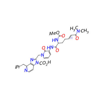 COC(=O)NC(CC/C=C/C(=O)N(C)C)C(=O)Nc1cccn(Cc2nc3c(CC(C)C)nccc3n2C(=O)O)c1=O